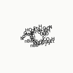 CCCCNC(=O)C(C(CC(C)(C)C(C(=O)OCC)C(CC(C)(C)C1C(=O)OC(=O)C1C)C(=O)O)C(=O)O)C(C)(C)CC1C(=O)N(CCCC)C(=O)C1C(C)(C)CC1C(=O)N(CCCNC(=O)c2ccc(N(C)C)cc2)C(=O)C1C(C)(C)CC(C(=O)O)C(C(=O)NCCCNC(=O)c1ccc(N(C)C)cc1)C(C)(C)CC